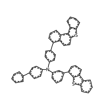 c1ccc(-c2ccc(N(c3ccc(-c4cccc5c4ccc4sc6ccccc6c45)cc3)c3cccc(-c4cccc5c4sc4ccccc45)c3)cc2)cc1